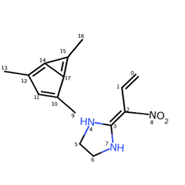 C=CC(=C1NCCN1)[N+](=O)[O-].Cc1cc(C)c2c(C)c1-2